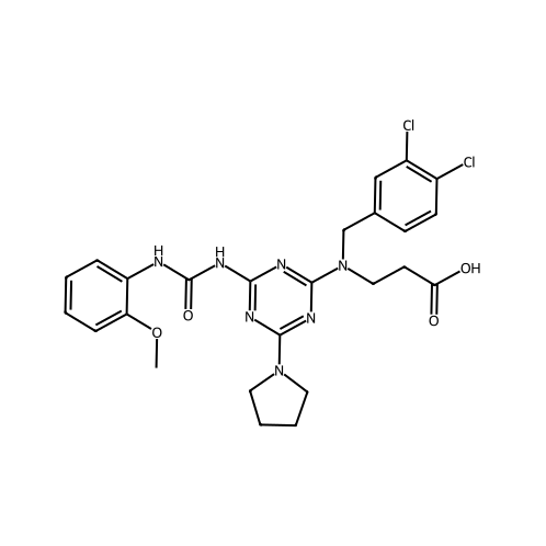 COc1ccccc1NC(=O)Nc1nc(N2CCCC2)nc(N(CCC(=O)O)Cc2ccc(Cl)c(Cl)c2)n1